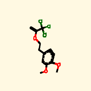 C=C(OCCc1ccc(OC)c(OC)c1)C(Cl)(Cl)Cl